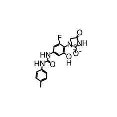 Cc1ccc(NC(=O)Nc2cc(O)c(N3CC(=O)N[S+]3[O-])c(F)c2)cc1